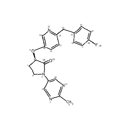 Cc1ncc(N2CC[C@@H](Oc3ccc(Cc4ccc(F)cc4)nc3)C2=O)cn1